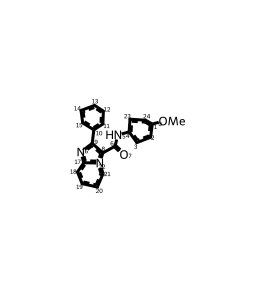 COc1ccc(NC(=O)c2c(-c3ccccc3)nc3ccccn23)cc1